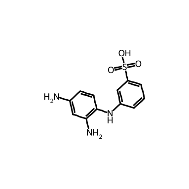 Nc1ccc(Nc2cccc(S(=O)(=O)O)c2)c(N)c1